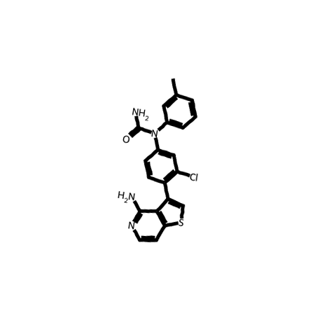 Cc1cccc(N(C(N)=O)c2ccc(-c3csc4ccnc(N)c34)c(Cl)c2)c1